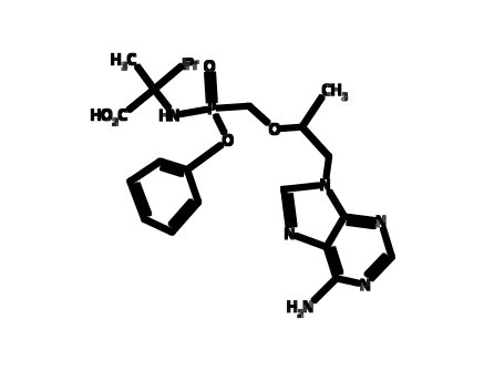 CC(Cn1cnc2c(N)ncnc21)OCP(=O)(NC(C)(C(=O)O)C(C)C)Oc1ccccc1